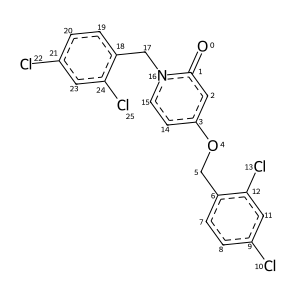 O=c1cc(OCc2ccc(Cl)cc2Cl)ccn1Cc1ccc(Cl)cc1Cl